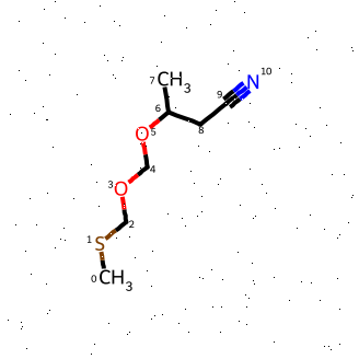 CSCOCOC(C)CC#N